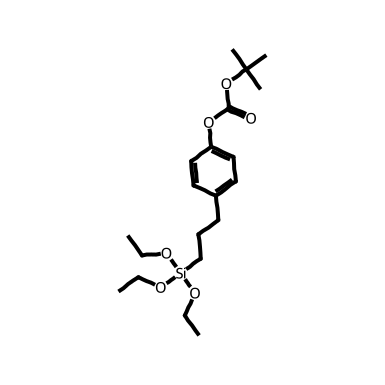 CCO[Si](CCCc1ccc(OC(=O)OC(C)(C)C)cc1)(OCC)OCC